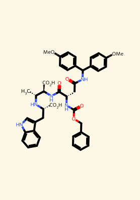 COc1ccc(C(NC(=O)C[C@H](NC(=O)OCc2ccccc2)C(=O)N[C@H](C(=O)O)[C@@H](C)N[C@@H](Cc2c[nH]c3ccccc23)C(=O)O)c2ccc(OC)cc2)cc1